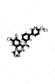 CCOc1ccc(-c2cccc(N(C)c3nc4nncn4c4cc(Cl)c(F)cc34)c2)cn1